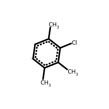 Cc1[c]cc(C)c(Cl)c1C